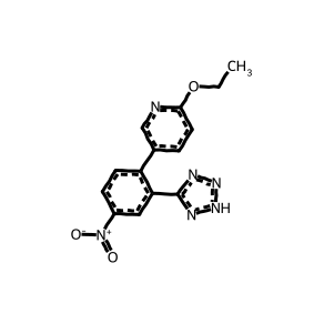 CCOc1ccc(-c2ccc([N+](=O)[O-])cc2-c2nn[nH]n2)cn1